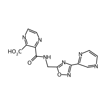 O=C(O)c1nccnc1C(=O)NCc1nc(-c2cnccn2)no1